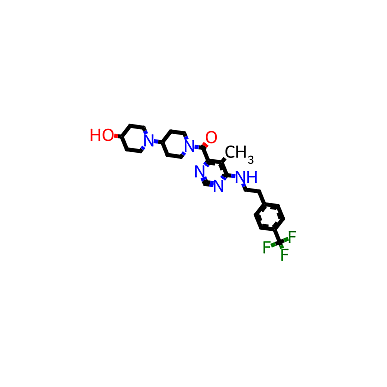 Cc1c(NCCc2ccc(C(F)(F)F)cc2)ncnc1C(=O)N1CCC(N2CCC(O)CC2)CC1